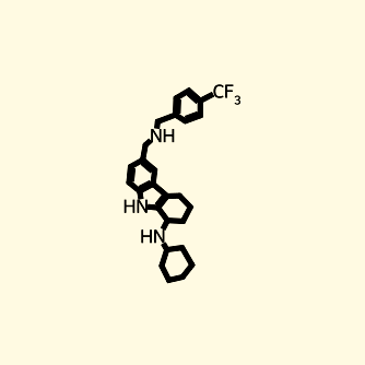 FC(F)(F)c1ccc(CNCc2ccc3[nH]c4c(c3c2)CCCC4NC2CCCCC2)cc1